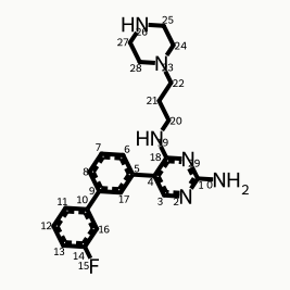 Nc1ncc(-c2cccc(-c3cccc(F)c3)c2)c(NCCCN2CCNCC2)n1